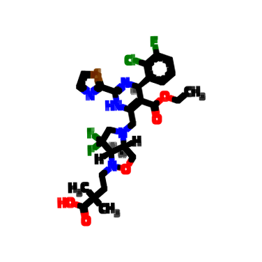 CCOC(=O)C1=C(CN2CC(F)(F)[C@@H]3[C@H]2CON3CCC(C)(C)C(=O)O)NC(c2nccs2)=N[C@H]1c1cccc(F)c1Cl